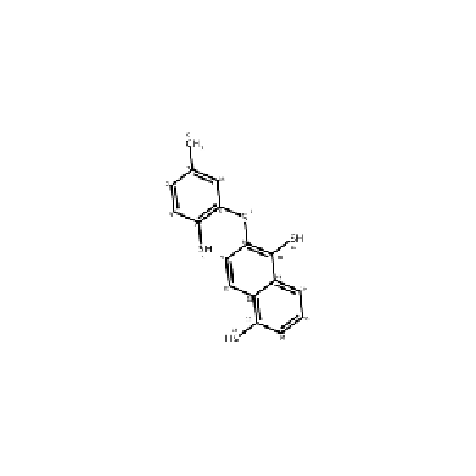 Cc1ccc(S)c(Sc2ccc3c(S)cccc3c2S)c1